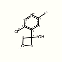 OC1(c2cc(F)ncc2Cl)COC1